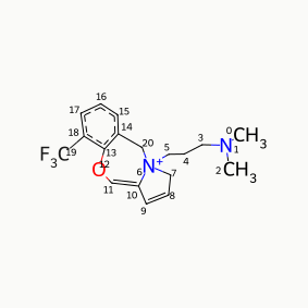 CN(C)CCC[N+]12CC=CC1=COc1c(cccc1C(F)(F)F)C2